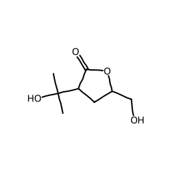 CC(C)(O)C1CC(CO)OC1=O